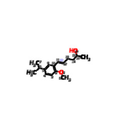 COc1ccc(C(C)C)cc1/C=C/CC[C@H](C)O